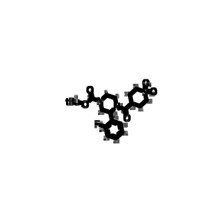 CC(C)(C)OC(=O)N1CCN(C(=O)C2CCS(=O)(=O)CC2)C(c2ccccc2F)C1